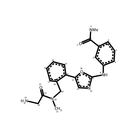 CNC(=O)c1cccc(Nc2ncc(-c3ccccc3CN(C)C(=O)CN)o2)c1